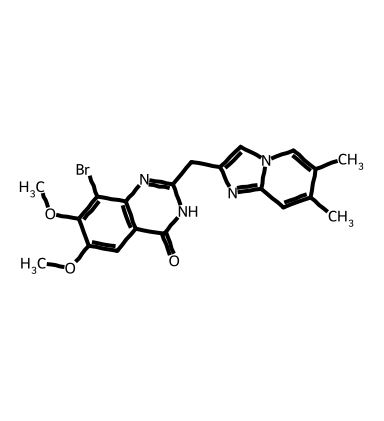 COc1cc2c(=O)[nH]c(Cc3cn4cc(C)c(C)cc4n3)nc2c(Br)c1OC